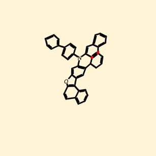 C1=CCC(c2cc3c(cc2N(c2ccc(-c4ccccc4)cc2)c2ccc4ccccc4c2)oc2ccc4ccccc4c23)C=C1